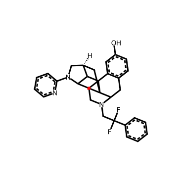 Oc1ccc2c(c1)C13CCN(CC(F)(F)c4ccccc4)C(C2)C12CCC1C3[C@@H](CN1c1ccccn1)C2